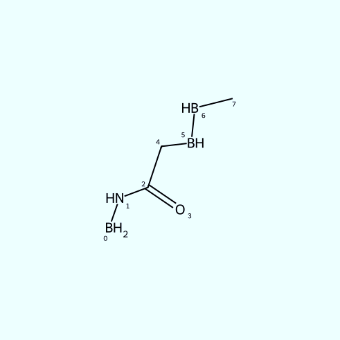 BNC(=O)CBBC